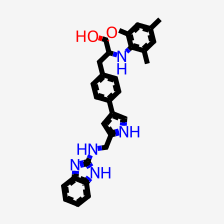 Cc1cc(C)c(NC(Cc2ccc(-c3c[nH]c(CNc4nc5ccccc5[nH]4)c3)cc2)C(=O)O)c(C)c1